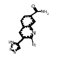 CCc1nc2cc(C(N)=O)ccc2cc1-c1cnn[nH]1